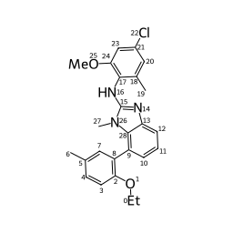 CCOc1ccc(C)cc1-c1cccc2nc(Nc3c(C)cc(Cl)cc3OC)n(C)c12